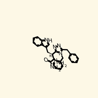 NC(=O)C(N)[C@@H](Cc1c[nH]c2ccccc12)c1nnc(Cc2ccccc2)n1Cc1ccccn1